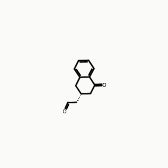 O=CC[C@H]1CC(=O)c2ccccc2C1